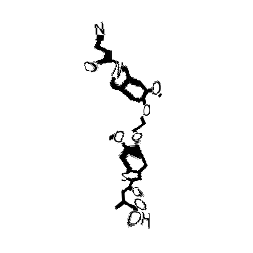 COc1cc2c(cc1OCCCOc1cc3cc(C(=O)CC(C)C(=O)O)sc3cc1OC)CN(C(=O)CCC#N)C2